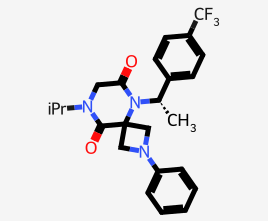 CC(C)N1CC(=O)N([C@@H](C)c2ccc(C(F)(F)F)cc2)C2(CN(c3ccccc3)C2)C1=O